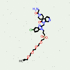 C#CCOCCOCCOCCOCCS(=O)(=O)CCCn1c(CN2C(=O)C3(CCN(C(=O)CN)CC3)c3ccncc32)nc2cc(Cl)ccc21